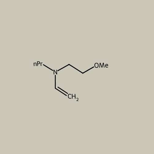 C=CN(CCC)CCOC